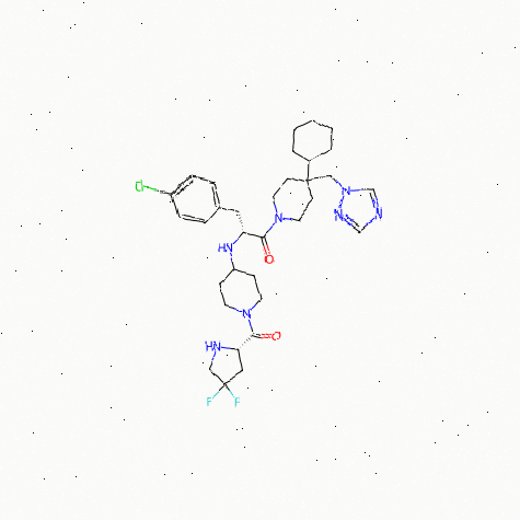 O=C([C@@H]1CC(F)(F)CN1)N1CCC(N[C@H](Cc2ccc(Cl)cc2)C(=O)N2CCC(Cn3cncn3)(C3CCCCC3)CC2)CC1